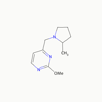 COc1nccc(CN2CCCC2C)n1